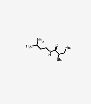 CC(N)CCNC(=O)C(CC(C)(C)C)C(C)(C)C